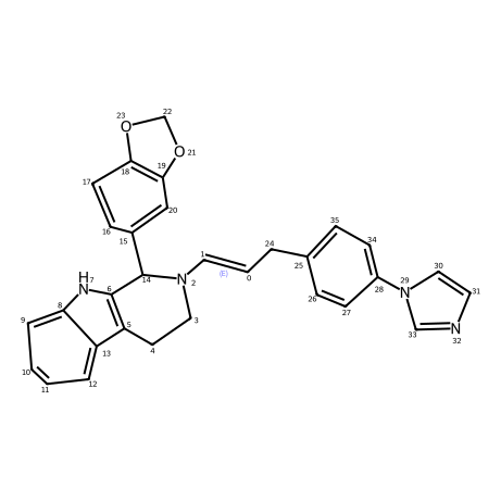 C(=C\N1CCc2c([nH]c3ccccc23)C1c1ccc2c(c1)OCO2)/Cc1ccc(-n2ccnc2)cc1